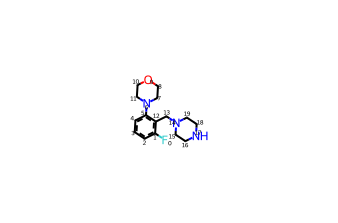 Fc1cccc(N2CCOCC2)c1CN1CCNCC1